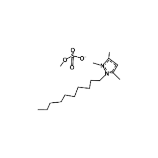 CCCCCCCCCC[n+]1c(C)cc(C)n1C.COS(=O)(=O)[O-]